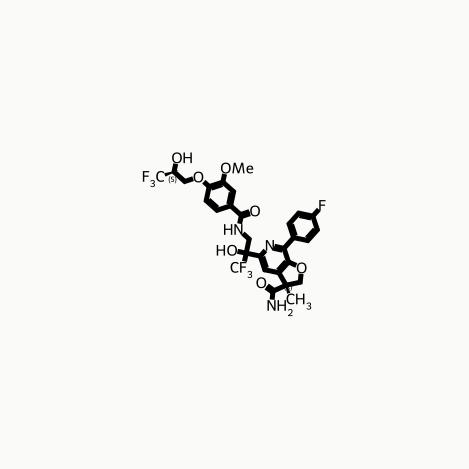 COc1cc(C(=O)NCC(O)(c2cc3c(c(-c4ccc(F)cc4)n2)OC[C@]3(C)C(N)=O)C(F)(F)F)ccc1OC[C@H](O)C(F)(F)F